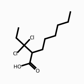 CCCCCCC(C(=O)O)C(Cl)(Cl)CC